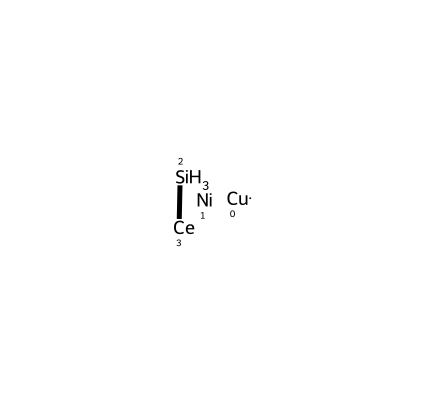 [Cu].[Ni].[SiH3][Ce]